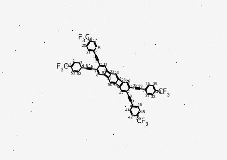 FC(F)(F)C1=CCC(C#Cc2cc3c(cc2C#Cc2ccc(C(F)(F)F)cc2)c2cc4c5cc(C#Cc6ccc(C(F)(F)F)cc6)c(C#Cc6ccc(C(F)(F)F)cc6)cc5c4cc32)C=C1